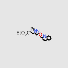 CCOC(=O)CCc1cc(OCc2ccc3ccccc3n2)nn1C(C)C